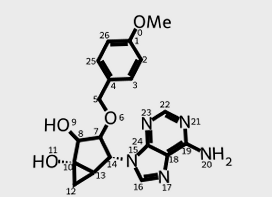 COc1ccc(COC2C(O)[C@]3(O)CC3[C@H]2n2cnc3c(N)ncnc32)cc1